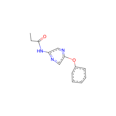 CCC(=O)Nc1cnc(Oc2ccccc2)cn1